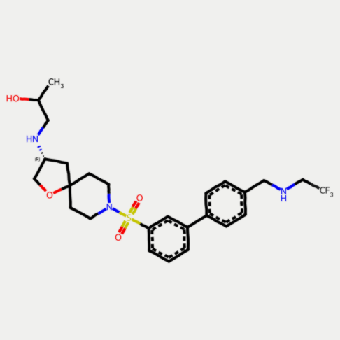 CC(O)CN[C@H]1COC2(CCN(S(=O)(=O)c3cccc(-c4ccc(CNCC(F)(F)F)cc4)c3)CC2)C1